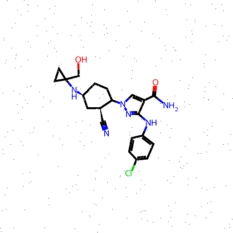 N#C[C@H]1C[C@@H](NC2(CO)CC2)CCC1n1cc(C(N)=O)c(Nc2ccc(Cl)cc2)n1